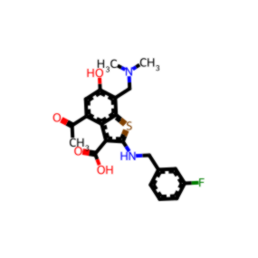 CC(=O)c1cc(O)c(CN(C)C)c2sc(NCc3cccc(F)c3)c(C(=O)O)c12